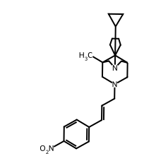 CC12CN(CC=Cc3ccc([N+](=O)[O-])cc3)CC(CN(C3CC3)C1)C21CCCC1